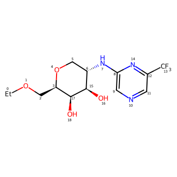 CCOC[C@H]1OC[C@H](Nc2cncc(C(F)(F)F)n2)[C@@H](O)[C@H]1O